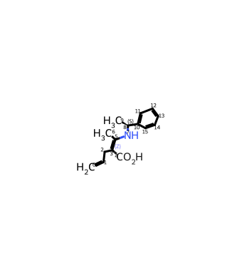 C=CC/C(C(=O)O)=C(\C)N[C@@H](C)c1ccccc1